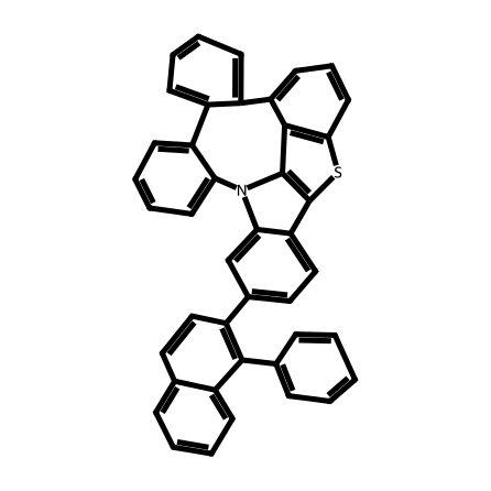 c1ccc(-c2c(-c3ccc4c5sc6cccc7c8ccccc8c8ccccc8n(c4c3)c5c67)ccc3ccccc23)cc1